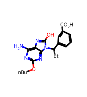 CCCCOc1nc(N)c2nc(O)n(C(CC)c3cccc(C(=O)O)c3)c2n1